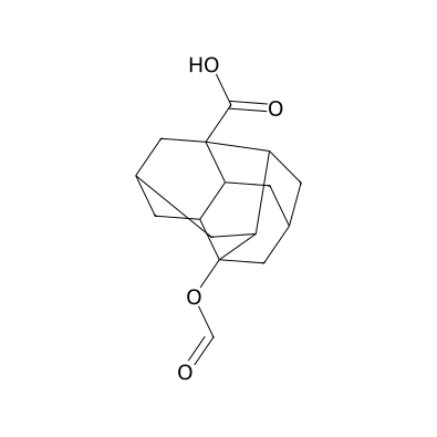 O=COC12CC3CC4C1CC1CC2C(C3)C4(C(=O)O)C1